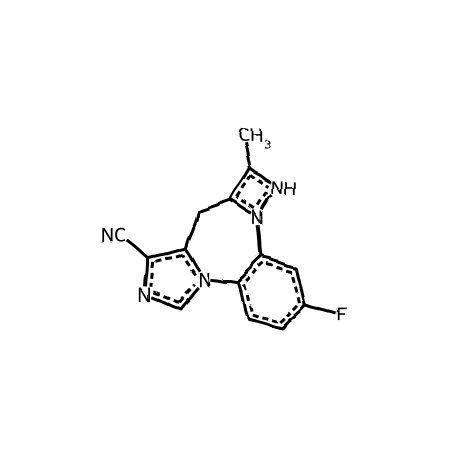 Cc1[nH]n2c1Cc1c(C#N)ncn1-c1ccc(F)cc1-2